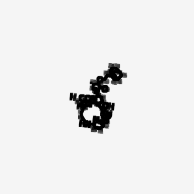 CC1(C)C[C@@H]2CCCNc3cccc(n3)S(=O)(=O)NC(O)c3ccc(N4CCC(OCCC56CC7CC(CC(C7)C5)C6)C4=O)nc3N1C2